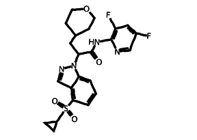 O=C(Nc1ncc(F)cc1F)C(CC1CCOCC1)n1ncc2c(S(=O)(=O)C3CC3)cccc21